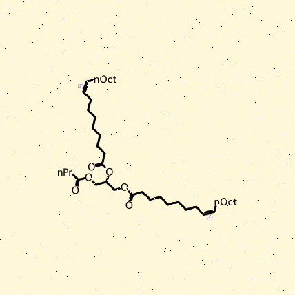 CCCCCCCC/C=C\CCCCCCCC(=O)OCC(COC(=O)CCC)OC(=O)CCCCCCC/C=C\CCCCCCCC